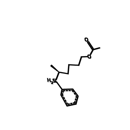 CC(=O)OCCCC[C@H](C)[SiH2]c1ccccc1